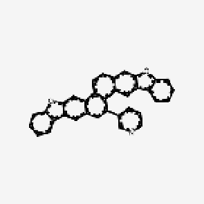 c1cncc(-c2cc3cc4c(cc3c3ccc5cc6oc7ccccc7c6cc5c23)oc2ccccc24)c1